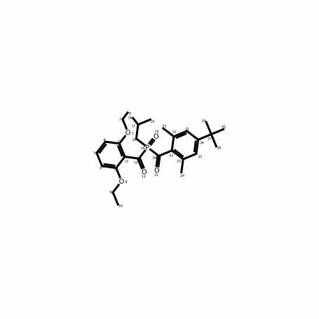 CCOc1cccc(OCC)c1C(=O)P(=O)(CC(C)C)C(=O)c1c(C)cc(C(C)(C)C)cc1C